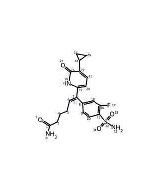 NC(=O)CCC/C=C(\c1ccc(S(N)(=O)=O)c(F)c1)c1ccc(C2CC2)c(=O)[nH]1